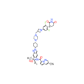 CC(C)(O)c1cc2nn(C3CCC(N4CCN(CC5CN(c6cc(F)c([C@H]7CCC(=O)NC7=O)c(F)c6)C5)CC4)CC3)cc2cc1NC(=O)c1ccc2cc(C#N)cnn12